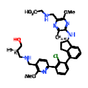 CC[C@H](CO)CNCc1ccc(-c2cccc(-c3cccc4c3CC[C@@H]4Nc3nc(OC)c(CNCC(=O)O)nc3C(F)(F)F)c2Cl)nc1OC